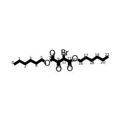 CCCCCCOC(=O)C(=O)C(Br)C(=O)OCCCCCC